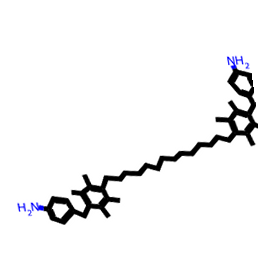 Cc1c(C)c(Cc2ccc(N)cc2)c(C)c(C)c1CCCCCCCCCCCCCCc1c(C)c(C)c(Cc2ccc(N)cc2)c(C)c1C